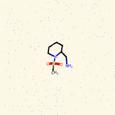 CS(=O)(=O)N1CCCCC1CN